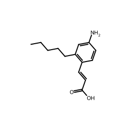 CCCCCc1cc(N)ccc1C=CC(=O)O